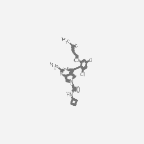 Nc1nc2c(c(-c3c(Cl)cc(Cl)cc3OC/C=C(\F)C(F)(F)F)n1)CN(C(=O)NC1CCC1)C2